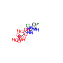 C[C@H](Nc1nc(Cl)nc2c1ncn2C1OC(CCP(=O)(O)CP(=O)(O)O)C(O)C1O)c1ccccc1F